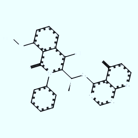 CCCSc1cccc2c(Cl)c([C@H](C)Nc3ncnc4[nH]ccc(=O)c34)n(-c3ccccc3)c(=O)c12